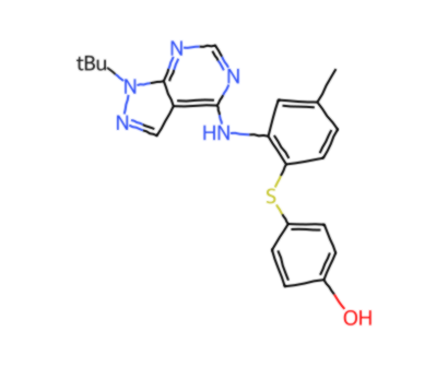 Cc1ccc(Sc2ccc(O)cc2)c(Nc2ncnc3c2cnn3C(C)(C)C)c1